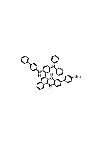 CN1c2ccc(-c3ccc(C(C)(C)C)cc3)cc2Bc2c(-c3cc(N(c4ccccc4)c4ccccc4)ccc3Nc3ccc(-c4ccccc4)cc3)cc3ccccc3c21